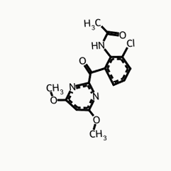 COc1cc(OC)nc(C(=O)c2cccc(Cl)c2NC(C)=O)n1